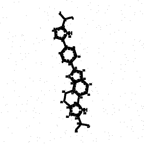 CC(C)c1ncc(-c2ccc(-c3cc4ccc5c(c4s3)CCc3nc(C(C)C)[nH]c3-5)cc2)[nH]1